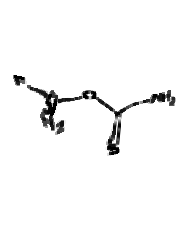 NC(=S)O[SiH2]F